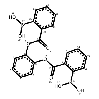 O=C(Oc1ccccc1OC(=O)c1ccccc1B(O)O)c1ccccc1B(O)O